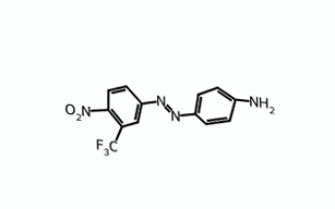 Nc1ccc(N=Nc2ccc([N+](=O)[O-])c(C(F)(F)F)c2)cc1